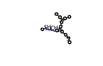 C=CC(/C=C/C=C(\S)c1ccccc1)=C\C=C\c1ccc(N(c2ccc(-c3ccc(-c4ccc(-c5ccccc5)s4)cc3)cc2)c2ccc(-c3ccc(N(c4ccc(-c5ccccc5)cc4)c4ccc(-c5ccccc5)cc4)cc3)cc2)cc1